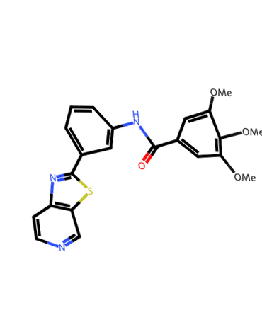 COc1cc(C(=O)Nc2cccc(-c3nc4ccncc4s3)c2)cc(OC)c1OC